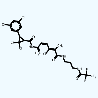 C=C(/C=C\C(Cl)=C(/C)C(=O)NCCCNC(=O)C(F)(F)C(F)(F)F)NC(=O)C1C(c2cc(Cl)cc(Cl)c2)C1(Cl)Cl